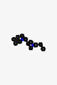 c1ccc(-c2cccc(-c3ccc(N(c4ccccc4)c4ccccc4-c4ccc(-c5ccc6c7ccccc7n(-c7cccc8c7-c7ccccc7C8(c7ccccc7)c7ccccc7)c6c5)cc4)cc3)c2)cc1